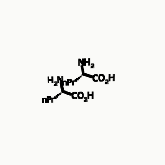 CCC[C@H](N)C(=O)O.CCC[C@H](N)C(=O)O